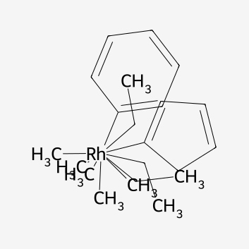 C[CH2][Rh]([CH3])([CH3])([CH3])([CH3])([CH3])([CH2]C)([CH2]C)([C]1=CC=CC1)[c]1ccccc1